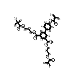 C=C(C)C(=O)OCCCOC(=O)c1cc(C(=O)OCCCOC(=O)C(C)(C)C)cc(-c2ccc(OC(=O)C(=C)C)cc2)c1